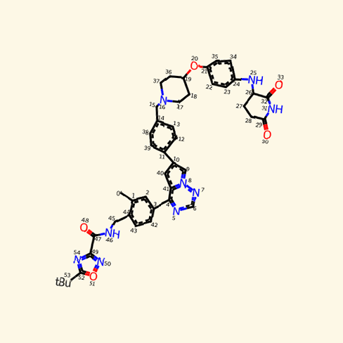 Cc1cc(-c2ncnn3cc(-c4ccc(CN5CCC(Oc6ccc(NC7CCC(=O)NC7=O)cc6)CC5)cc4)cc23)ccc1CNC(=O)c1noc(C(C)(C)C)n1